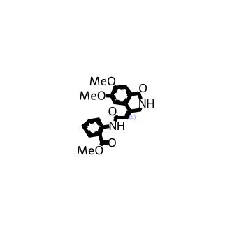 COC(=O)c1ccccc1NC(=O)/C=C1/CNC(=O)c2cc(OC)c(OC)cc21